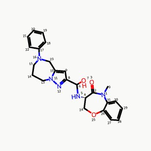 CN1C(=O)[C@@H](NC(O)c2cc3n(n2)CCCN(c2ccccc2)C3)COc2ccccc21